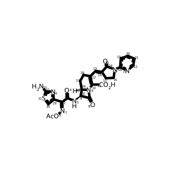 CC(=O)ON=C(C(=O)N[C@@H]1C(=O)N2C(C(=O)O)=C(C=C3CCN(c4ccccn4)C3=O)CC[C@H]12)c1csc(N)n1